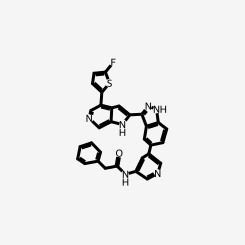 O=C(Cc1ccccc1)Nc1cncc(-c2ccc3[nH]nc(-c4cc5c(-c6ccc(F)s6)cncc5[nH]4)c3c2)c1